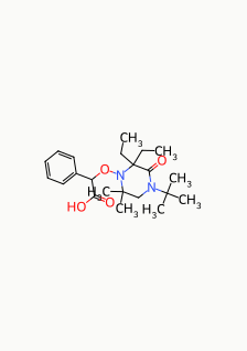 CCC1(CC)C(=O)N(C(C)(C)C)CC(C)(C)N1OC(C(=O)O)c1ccccc1